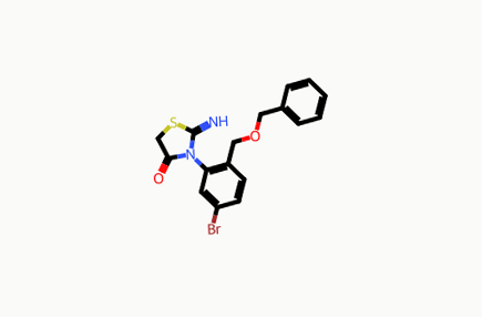 N=C1SCC(=O)N1c1cc(Br)ccc1COCc1ccccc1